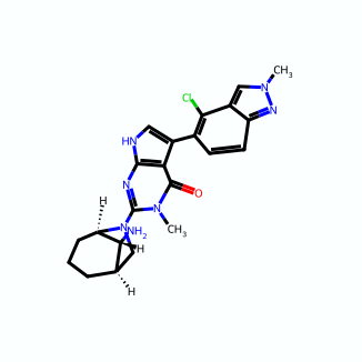 Cn1cc2c(Cl)c(-c3c[nH]c4nc(N5C[C@H]6CCC[C@@H]5[C@@H]6N)n(C)c(=O)c34)ccc2n1